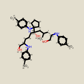 CC(C[C@@H](CO)Nc1ccc([N+](=O)[O-])cc1)C[C@@](O)(CCCC(CO)Nc1ccc([N+](=O)[O-])cc1)C1(Nc2ccc([N+](=O)[O-])cc2)CCCC1